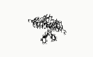 CC[C@H](O[Si](CC)(CC)CC)C(C)(C)[C@@H](O)[C@@H](O)/C(C)=C(\C)[C@H](C)OC(=O)[C@H](CC(C)(C)[Si](C)(C)O)[C@@H](N=COc1ccccc1)c1ccccc1